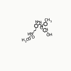 COCC(=O)NCC=Cc1ccc2ncnc(N(Oc3ccc(CO)nc3)c3cccc(C)c3)c2c1